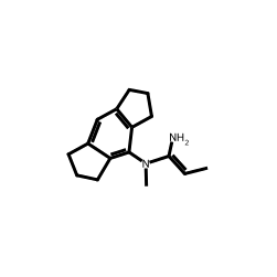 C/C=C(\N)N(C)c1c2c(cc3c1CCC3)CCC2